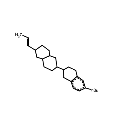 CC=CC1CCC2CC(C3CCc4cc(CCCC)ccc4C3)CCC2C1